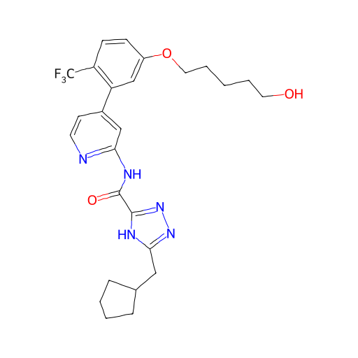 O=C(Nc1cc(-c2cc(OCCCCCO)ccc2C(F)(F)F)ccn1)c1nnc(CC2CCCC2)[nH]1